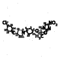 CC1(COc2ccc(N3CCC(Cc4ccc(Cl)cc4)CC3)cc2)Cn2cc([N+](=O)[O-])nc2O1